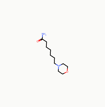 NC(=O)CCCCCCN1CCOCC1